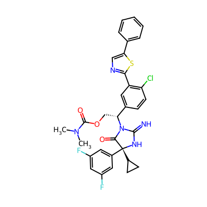 CN(C)C(=O)OC[C@H](c1ccc(Cl)c(-c2ncc(-c3ccccc3)s2)c1)N1C(=N)N[C@@](c2cc(F)cc(F)c2)(C2CC2)C1=O